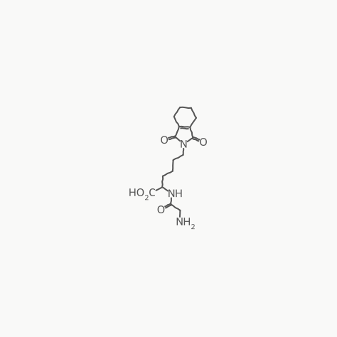 NCC(=O)NC(CCCCN1C(=O)C2=C(CCCC2)C1=O)C(=O)O